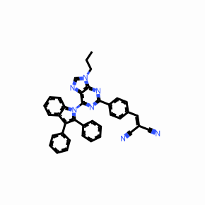 CCCn1cnc2c(-n3c(-c4ccccc4)c(-c4ccccc4)c4ccccc43)nc(-c3ccc(C=C(C#N)C#N)cc3)nc21